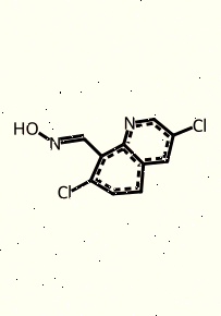 ON=Cc1c(Cl)ccc2cc(Cl)cnc12